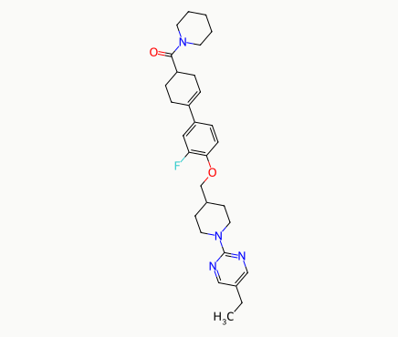 CCc1cnc(N2CCC(COc3ccc(C4=CCC(C(=O)N5CCCCC5)CC4)cc3F)CC2)nc1